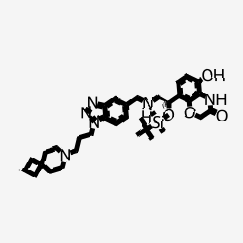 CC(C)(C)[Si](C)(C)O[C@@H](CNCc1ccc2c(c1)nnn2CCCN1CCC2(C[CH]C2)CC1)c1ccc(O)c2c1OCC(=O)N2